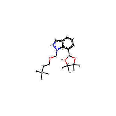 CC1(C)OB(c2cccc3cnn(COCC[Si](C)(C)C)c23)OC1(C)C